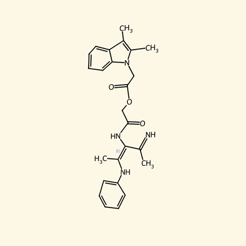 CC(=N)/C(NC(=O)COC(=O)Cn1c(C)c(C)c2ccccc21)=C(/C)Nc1ccccc1